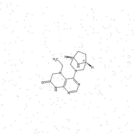 CCN1CC(=O)Nc2ncnc(N3C[C@H]4CC[C@@H](C3)N4)c21